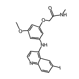 CNC(=O)COc1cc(Nc2ccnc3ccc(I)cc23)cc(OC)c1